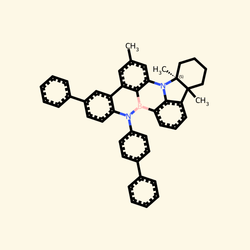 Cc1cc2c3c(c1)N1c4c(cccc4C4(C)CCCC[C@]14C)B3N(c1ccc(-c3ccccc3)cc1)c1ccc(-c3ccccc3)cc1-2